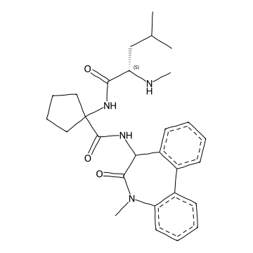 CN[C@@H](CC(C)C)C(=O)NC1(C(=O)NC2C(=O)N(C)c3ccccc3-c3ccccc32)CCCC1